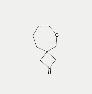 C1CCC2(CNC2)COC1